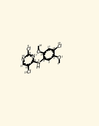 COc1cc(Nc2nc(Cl)ncc2Cl)c(OC)cc1Cl